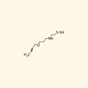 CC#CCOCCCNCCSS